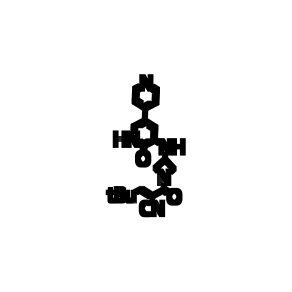 CC(C)(C)C=C(C#N)C(=O)N1CC(Nc2cc(-c3ccncc3)c[nH]c2=O)C1